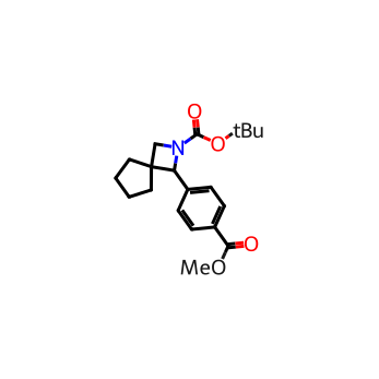 COC(=O)c1ccc(C2N(C(=O)OC(C)(C)C)CC23CCCC3)cc1